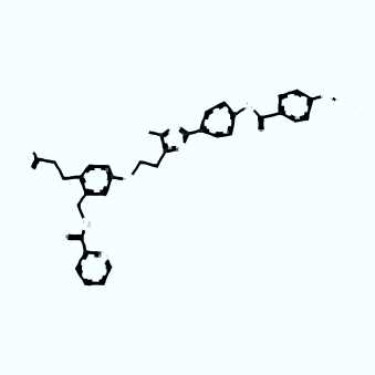 COc1ccc(C(=O)Nc2ccc(-c3nc(CCOc4ccc(CCC(=O)O)c(CNC(=O)c5ccccn5)c4)c(C)o3)cc2)cc1